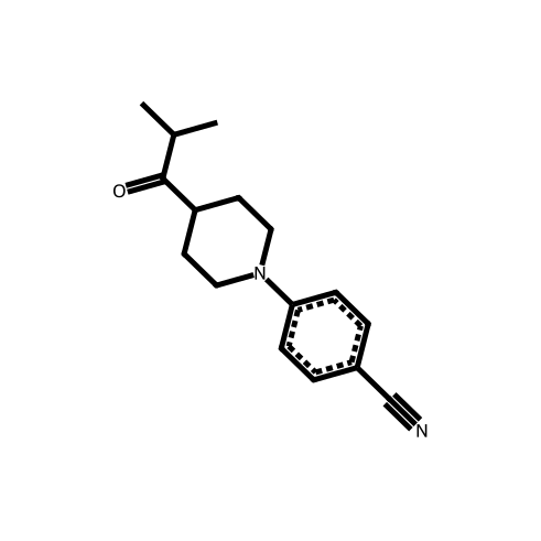 CC(C)C(=O)C1CCN(c2ccc(C#N)cc2)CC1